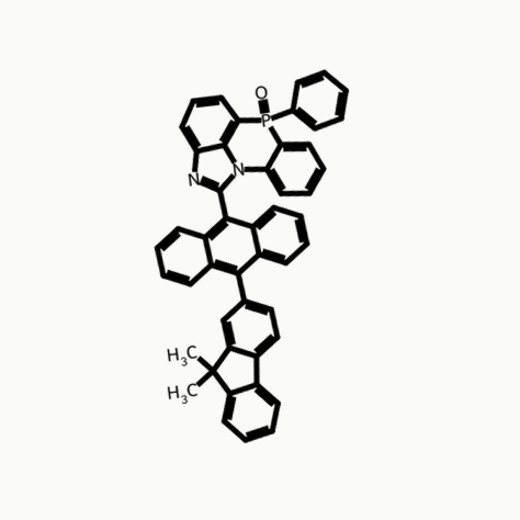 CC1(C)c2ccccc2-c2ccc(-c3c4ccccc4c(-c4nc5cccc6c5n4-c4ccccc4P6(=O)c4ccccc4)c4ccccc34)cc21